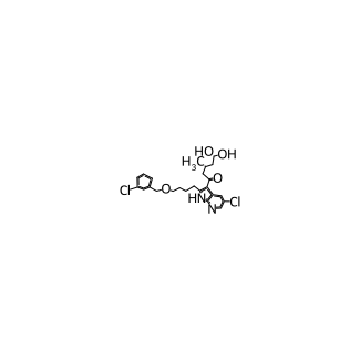 C[C@@H](CC(=O)c1c(CCCCOCc2cccc(Cl)c2)[nH]c2ncc(Cl)cc12)CC(O)O